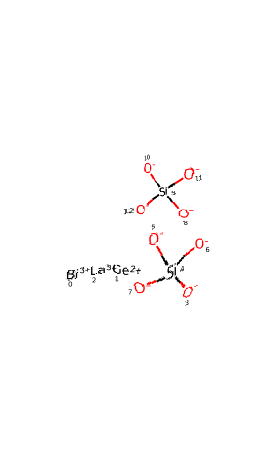 [Bi+3].[Ge+2].[La+3].[O-][Si]([O-])([O-])[O-].[O-][Si]([O-])([O-])[O-]